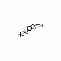 CC(C)(C)OC(=O)Oc1ccc2c(c1)OC(CO)C2